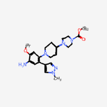 CC(C)Oc1cc(N2CCC(N3CCN(C(=O)OC(C)(C)C)CC3)CC2)c(-c2cnn(C)c2)cc1N